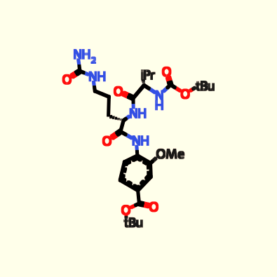 COc1cc(C(=O)OC(C)(C)C)ccc1NC(=O)[C@H](CCCNC(N)=O)NC(=O)[C@@H](NC(=O)OC(C)(C)C)C(C)C